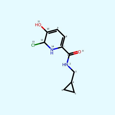 O=C(NCC1CC1)C1=CC=C(O)C(Cl)N1